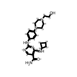 NC(=O)c1cnc(Nc2ccc(N3CCN(CCO)CC3)cc2)nc1NC1CCC1